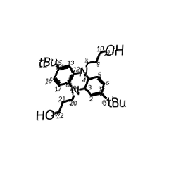 CC(C)(C)C1=CC2C(C=C1)N(CCCO)c1cc(C(C)(C)C)ccc1N2CCCO